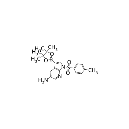 Cc1ccc(S(=O)(=O)n2cc(B3OC(C)(C)C(C)(C)O3)c3cc(N)cnc32)cc1